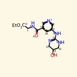 CCOC(=O)CNC(=O)c1cncc(NC2=NCC(O)CN2)c1